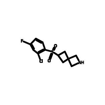 O=S(=O)(c1ccc(F)cc1Cl)C1CC2(CNC2)C1